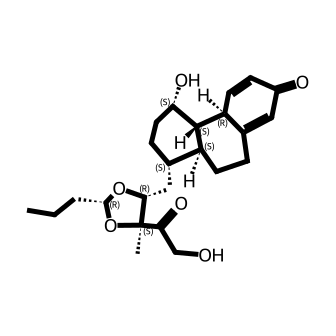 CCC[C@@H]1O[C@H](C[C@@H]2CC[C@H](O)[C@H]3[C@H]2CCC2=CC(=O)C=C[C@@H]23)[C@@](C)(C(=O)CO)O1